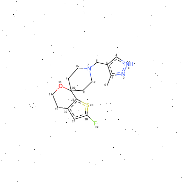 Cc1n[nH]cc1CN1CCC2(CC1)OCCc1cc(F)sc12